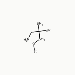 CCCC(N)(CN)[SiH2]OCC